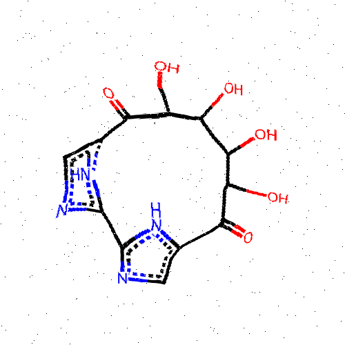 O=C1c2cnc([nH]2)-c2ncc([nH]2)C(=O)C(O)C(O)C(O)C1O